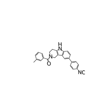 [C-]#[N+]c1ccc(-c2ccc3[nH]c4c(c3c2)CN(C(=O)c2cccc(C)c2)CC4)cc1